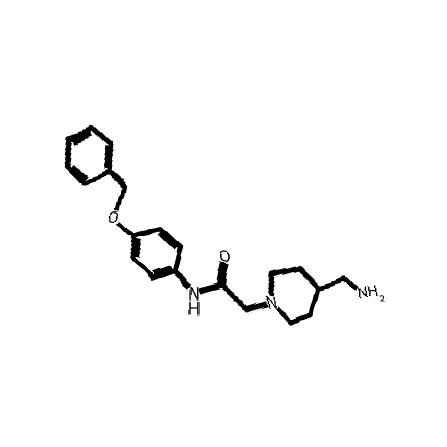 NCC1CCN(CC(=O)Nc2ccc(OCc3ccccc3)cc2)CC1